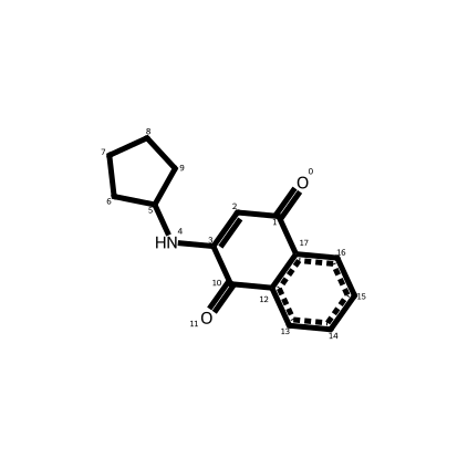 O=C1C=C(NC2CCCC2)C(=O)c2ccccc21